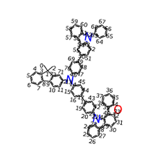 CC1(C)c2ccccc2-c2ccc(N(c3ccc(-c4ccc(-n5c6ccccc6c6ccc7oc8ccccc8c7c65)cc4)cc3)c3ccc(-c4ccc5c(c4)c4ccccc4n5-c4ccccc4)cc3)cc21